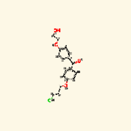 O=C(c1ccc(OCCO)cc1)c1ccc(OCCCCl)cc1